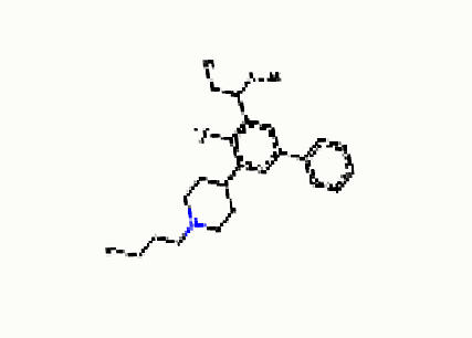 CCOC(=O)C(CC(C)C)c1cc(-c2ccccc2)cc(C2CCN(CCCC(C)C)CC2)c1C(F)(F)F